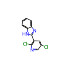 Clc1cnc(Cl)c(-c2nc3ccccc3[nH]2)c1